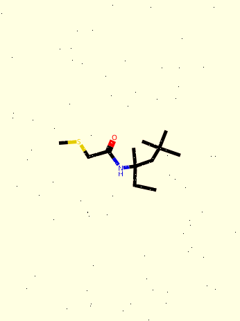 CCC(C)(CC(C)(C)C)NC(=O)CSC